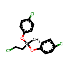 C[Si](CCCl)(Oc1ccc(Cl)cc1)Oc1ccc(Cl)cc1